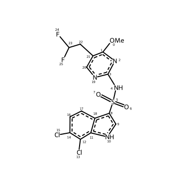 COc1nc(NS(=O)(=O)c2c[nH]c3c(Cl)c(Cl)ccc23)ncc1CC(F)F